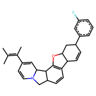 CC(C)=C(C)C1=CC2C3C4=C(C=CC3CN2C=C1)C1C=CC(c2cccc(F)c2)CC1O4